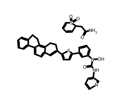 NC(=O)CC1C=CC=CS1(=O)=O.O=C(Nc1cccnc1)N(O)c1cccc(-c2ccc(C3=Cc4ccc5c(c4CC3)CCc3ccccc3-5)s2)c1